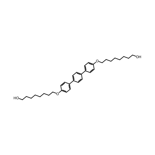 OCCCCCCCCOc1ccc(-c2ccc(-c3ccc(OCCCCCCCCO)cc3)cc2)cc1